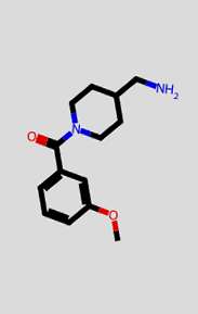 COc1cccc(C(=O)N2CCC(CN)CC2)c1